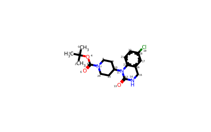 CC(C)(C)OC(=O)N1CCC(N2C(=O)NCc3cc(Cl)ccc32)CC1